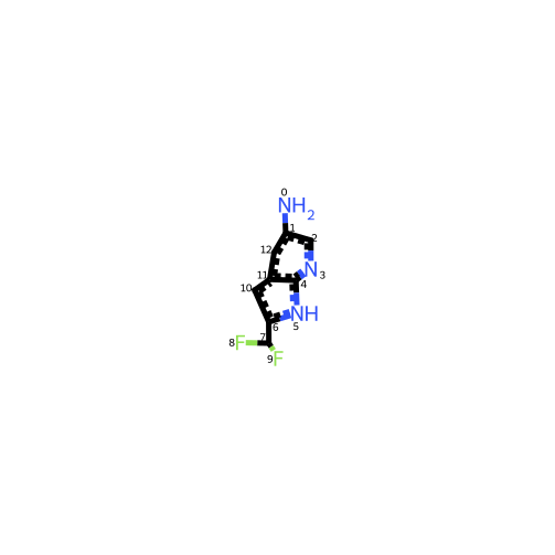 Nc1cnc2[nH]c(C(F)F)cc2c1